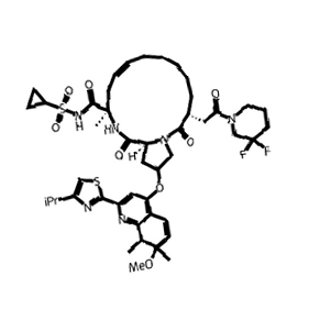 COC1(C)C=Cc2c(OC3C[C@H]4C(=O)N[C@@](C)(C(=O)NS(=O)(=O)C5CC5)C/C=C\CCCCC[C@H](CC(=O)N5CCCC(F)(F)C5)C(=O)N4C3)cc(-c3nc(C(C)C)cs3)nc2C1C